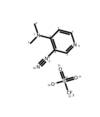 CN(C)c1ccncc1[N+]#N.O=S(=O)([O-])C(F)(F)F